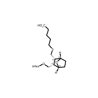 CCCCCCOC[C@@H]1[C@H](CSCCCCC(=O)O)[C@@H]2CC[C@H]1O2